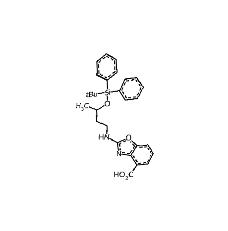 CC(CCNc1nc2c(C(=O)O)cccc2o1)O[Si](c1ccccc1)(c1ccccc1)C(C)(C)C